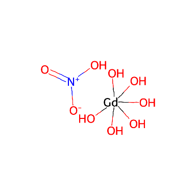 O=[N+]([O-])O.[OH][Gd]([OH])([OH])([OH])([OH])[OH]